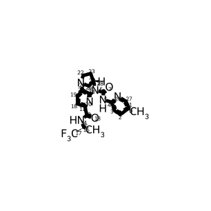 Cc1ccc(NC(=O)N2c3nc(C(=O)N[C@H](C)C(F)(F)F)ccc3N3CC[C@H]2C3)nc1